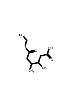 CCOC(=O)CC(C)C(C)CC(=O)O